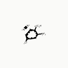 N#N.Nc1cc(Cl)ccc1C(=O)O